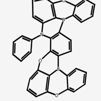 c1ccc(N2c3cccc4c3B(c3ccccc3O4)c3ccc4c(c32)Oc2cccc3c2B4c2ccccc2O3)cc1